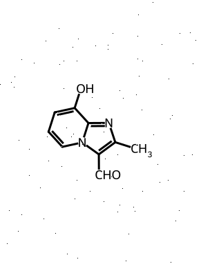 Cc1nc2c(O)cccn2c1C=O